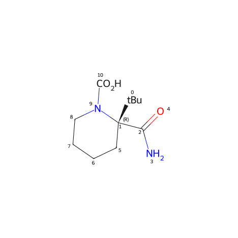 CC(C)(C)[C@@]1(C(N)=O)CCCCN1C(=O)O